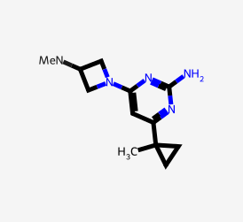 CNC1CN(c2cc(C3(C)CC3)nc(N)n2)C1